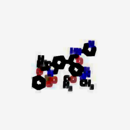 COc1cc(C(=CC(=O)Nc2cccnc2)c2ccc(C)c(CN3C[C@@H](C)Oc4ccccc4S3(=O)=O)c2)cc2nnn(C)c12